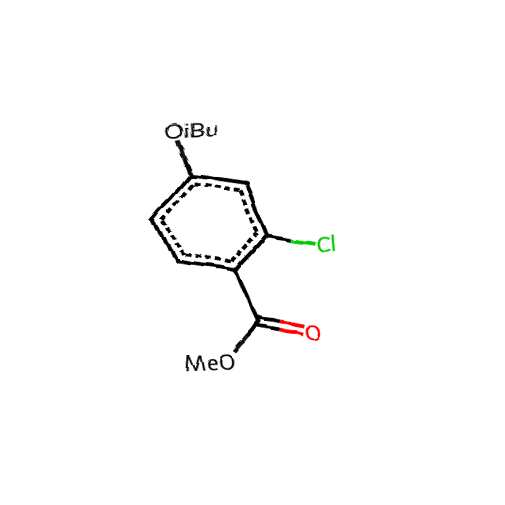 COC(=O)c1ccc(OCC(C)C)cc1Cl